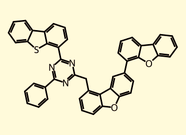 c1ccc(-c2nc(Cc3cccc4oc5ccc(-c6cccc7c6oc6ccccc67)cc5c34)nc(-c3cccc4c3sc3ccccc34)n2)cc1